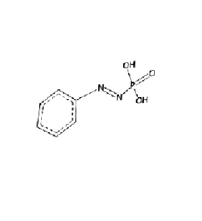 O=P(O)(O)N=Nc1ccccc1